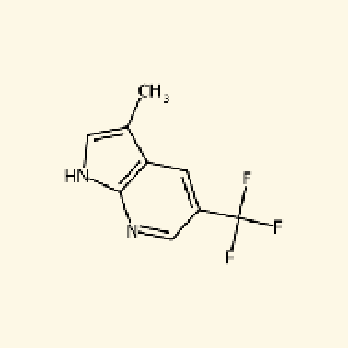 Cc1c[nH]c2ncc(C(F)(F)F)cc12